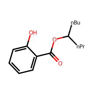 CCCCC(CCC)OC(=O)c1ccccc1O